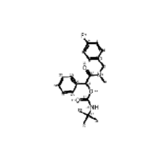 CN(Cc1ccc(F)cc1)C(=O)C(OC(=O)NC(C)(C)C)c1ccccc1